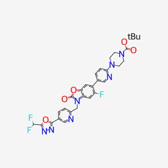 CC(C)(C)OC(=O)N1CCN(c2ccc(-c3cc4oc(=O)n(Cc5ccc(-c6nnc(C(F)F)o6)cn5)c4cc3F)cn2)CC1